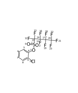 O=S(=O)(Oc1ccccc1Cl)C(F)(F)C(F)(F)C(F)(F)C(F)(F)F